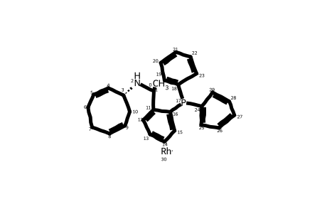 CC(N[C@H]1/C=C\CC/C=C\C1)c1ccccc1P(c1ccccc1)c1ccccc1.[Rh]